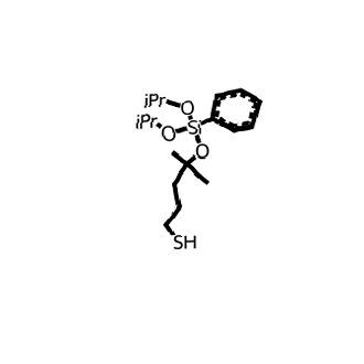 CC(C)O[Si](OC(C)C)(OC(C)(C)CCCS)c1ccccc1